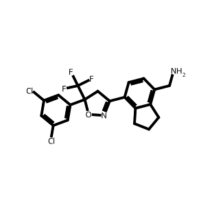 NCc1ccc(C2=NOC(c3cc(Cl)cc(Cl)c3)(C(F)(F)F)C2)c2c1CCC2